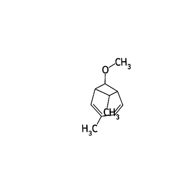 COC1C2C=CC(C)=CC1C2C